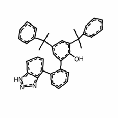 CC(C)(c1ccccc1)c1cc(-c2ccccc2-c2cccc3[nH]nnc23)c(O)c(C(C)(C)c2ccccc2)c1